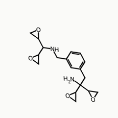 NC(Cc1cccc(CNC(C2CO2)C2CO2)c1)(C1CO1)C1CO1